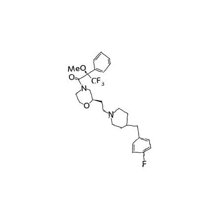 CO[C@@](C(=O)N1CCO[C@H](CCN2CCC(Cc3ccc(F)cc3)CC2)C1)(c1ccccc1)C(F)(F)F